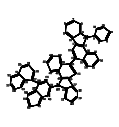 c1ccc(-n2c3ccccc3c3cc(-c4cc5c6ccccc6n(-c6nc(-c7cccc8ccccc78)c7ccccc7n6)c5c5ccccc45)c4ccccc4c32)cc1